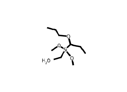 CCCOC(CC)[Si](CC)(OC)OC.O